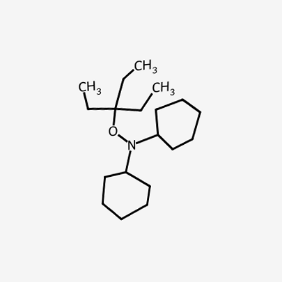 CCC(CC)(CC)ON(C1CCCCC1)C1CCCCC1